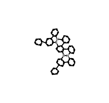 c1ccc(-c2ccc3c(c2)-c2ccccc2N2B3c3ccc4c(c3-c3ccccc32)-c2ccccc2N2B4c3ccc(-c4ccccc4)cc3-c3ccccc32)cc1